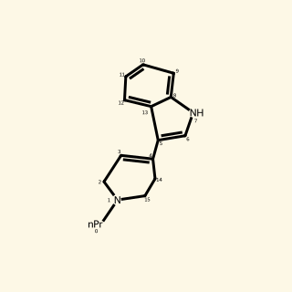 CCCN1CC=C(c2c[nH]c3ccccc23)CC1